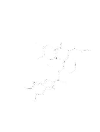 CN(C(=O)c1cc2cc(F)c(F)cc2[nH]1)C1COCc2c1c1cc(F)c(F)cc1c(=O)n2CCN